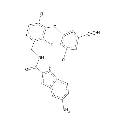 N#Cc1cc(Cl)cc(Oc2c(Cl)ccc(CNC(=O)c3cc4cc(N)ccc4[nH]3)c2F)c1